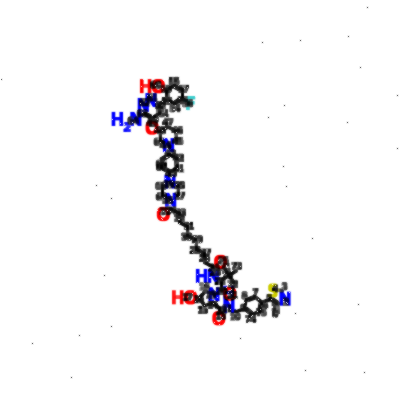 Cc1ncsc1-c1ccc(CNC(=O)C2CC(O)CN2C(=O)C(NC(=O)CCCCCCCCC(=O)N2CCN(c3ccc(N4CCCC(Oc5cc(-c6cc(F)ccc6O)nnc5N)C4)cc3)CC2)C(C)(C)C)cc1